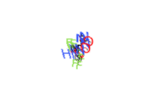 CCN(C(=O)N[C@@H](CCC(F)F)C(F)F)[C@@H](c1cc(-c2cn3cc(C)nc3c(OC)n2)c(OC)cn1)C(F)(F)F